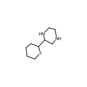 C1CCC(C2CNCCN2)SC1